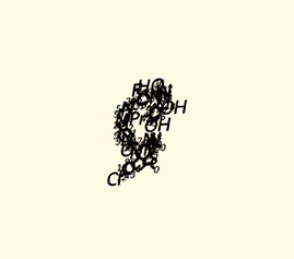 Cc1sc2c(c1C)C(c1ccc(Cl)cc1)=N[C@@H](CC(=O)N1CCC(CN3CCN(Cc4ccc(-n5c(O)nnc5-c5cc(C(C)C)c(O)cc5O)cc4F)CC3)CC1)c1nnc(C)n1-2